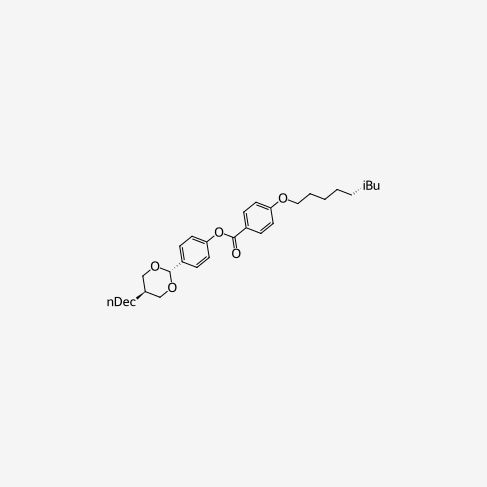 CCCCCCCCCC[C@H]1CO[C@H](c2ccc(OC(=O)c3ccc(OCCCCC[C@@H](C)CC)cc3)cc2)OC1